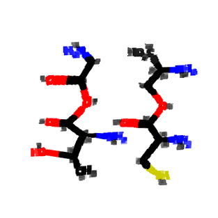 C[C@@H](O)[C@H](N)C(=O)OC(=O)CN.N[C@@H](COC(=O)[C@@H](N)CS)C(=O)O